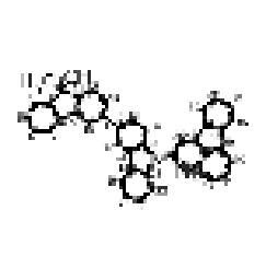 CC1(C)c2ccccc2-c2cc(-c3ccc4c(c3)c3ccccc3n4-c3cc4c5c(cccc5n3)-c3ccccc3-4)ccc21